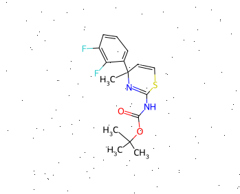 CC(C)(C)OC(=O)NC1=NC(C)(c2cccc(F)c2F)C=CS1